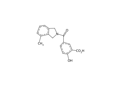 Cc1cccc2c1CN(C(=O)c1ccc(O)c(C(=O)O)c1)C2